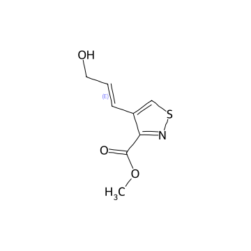 COC(=O)c1nscc1/C=C/CO